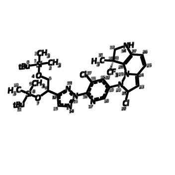 CC(C)(C)[Si](C)(C)OCC(O[Si](C)(C)C(C)(C)C)c1cnn(-c2ncc(N3C(Cl)C=C4C=CC5=C(N43)[C@](C)(C(F)(F)F)CN5)cc2Cl)n1